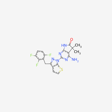 CC1(C)C(=O)Nc2nc(-n3nc(Cc4c(F)ccc(F)c4F)c4ccsc43)nc(N)c21